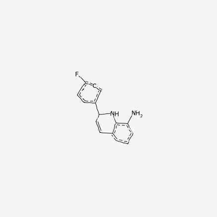 Nc1cccc2c1NC(c1ccc(F)cc1)C=C2